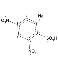 O=[N+]([O-])c1ccc(S(=O)(=O)O)c([N+](=O)[O-])c1.[Na]